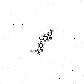 CC(C)(C)OC(=O)Nc1ccc(Oc2ccc(S(=O)(=O)CC3CS3)cc2)cc1